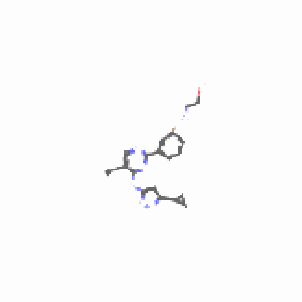 C#Cc1cnc(-c2cccc(SNCCO)c2)nc1Nc1cc(C2CC2)[nH]n1